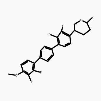 COc1ccc(-c2ccc(-c3ccc(C4CCC(C)OC4)c(F)c3F)cc2)c(F)c1F